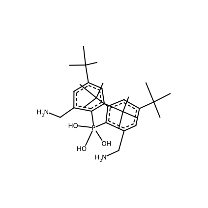 CC(C)(C)c1cc(CN)c(P(O)(O)(O)c2c(CN)cc(C(C)(C)C)cc2C(C)(C)C)c(C(C)(C)C)c1